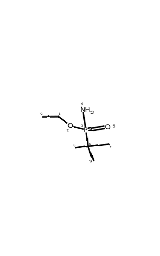 CCOP(N)(=O)C(C)(C)C